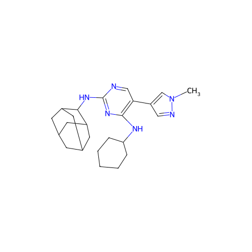 Cn1cc(-c2cnc(NC3C4CC5CC(C4)CC3C5)nc2NC2CCCCC2)cn1